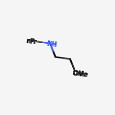 CCCNCCOC